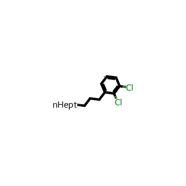 CCCCCCCCCCc1c[c]cc(Cl)c1Cl